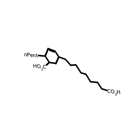 CCCCCC1C=CC(CCCCCCCCC(=O)O)CC1C(=O)O